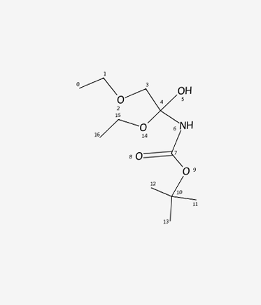 CCOCC(O)(NC(=O)OC(C)(C)C)OCC